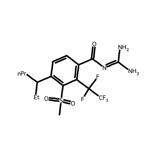 CCCC(CC)c1ccc(C(=O)N=C(N)N)c(C(F)(F)C(F)(F)F)c1S(C)(=O)=O